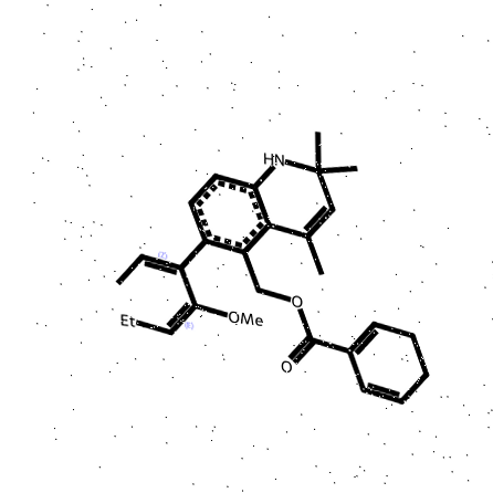 C/C=C(\C(=C/CC)OC)c1ccc2c(c1COC(=O)C1=CCCC=C1)C(C)=CC(C)(C)N2